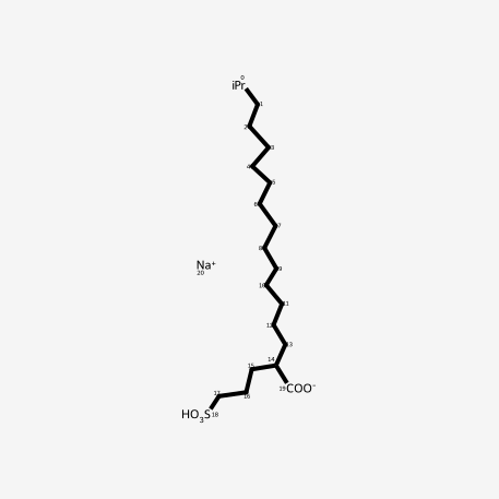 CC(C)CCCCCCCCCCCCCC(CCCS(=O)(=O)O)C(=O)[O-].[Na+]